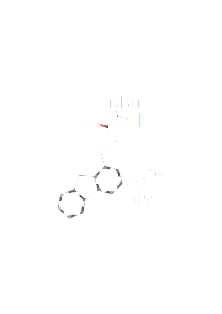 CC(C)OC(C)C.CCCCC(Cl)C(=O)OCc1cccc2c1Cc1ccccc1-2